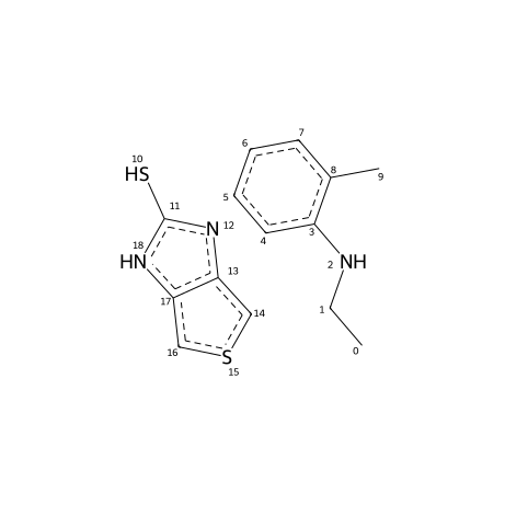 CCNc1ccccc1C.Sc1nc2cscc2[nH]1